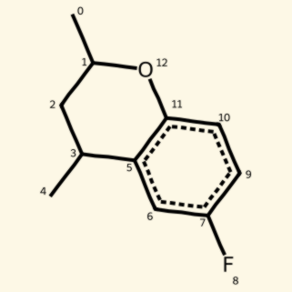 CC1CC(C)c2cc(F)ccc2O1